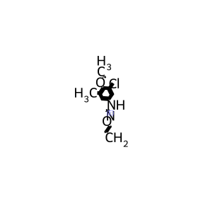 C=CCO/N=C/Nc1cc(C)c(OCC)c(Cl)c1